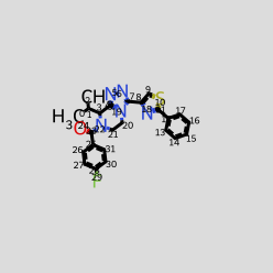 CC(C)C1c2nnc(-c3csc(-c4ccccc4)n3)n2CCN1C(=O)c1ccc(F)cc1